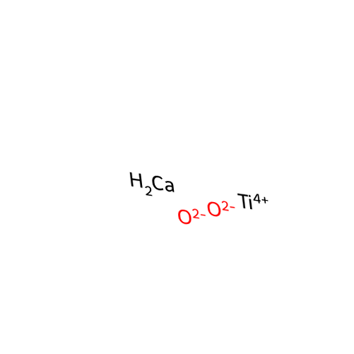 [CaH2].[O-2].[O-2].[Ti+4]